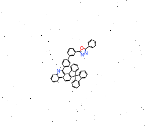 c1ccc(-c2nnc(-c3cccc(-c4ccc(-c5nc6ccccc6c6ccc7c(c56)-c5ccccc5C75c6ccccc6-c6ccccc65)cc4)c3)o2)cc1